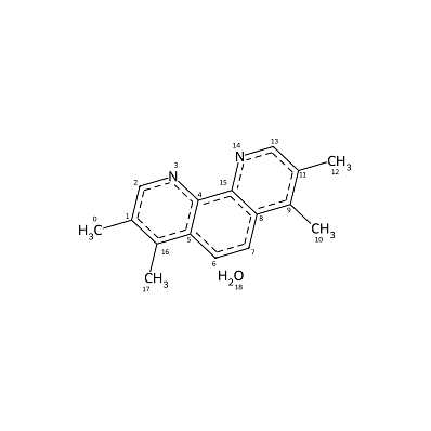 Cc1cnc2c(ccc3c(C)c(C)cnc32)c1C.O